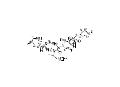 CC(C)n1c(=O)c(-c2cc(F)c(NS(=O)(=O)Cc3ccc(F)cc3)c(F)c2F)nc2cnc(N[C@@H]3CNC[C@@H](F)C3)nc21.Cl